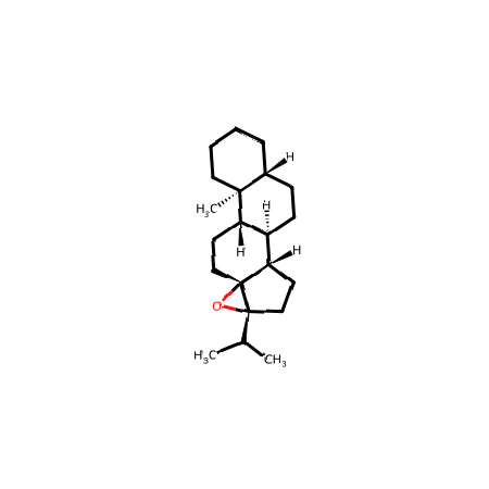 CC(C)[C@]12CC[C@H]3[C@@H]4CC[C@H]5CCCC[C@]5(C)[C@H]4CC[C@@]31O2